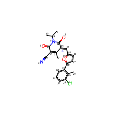 CC1=C(C#N)C(=O)N(C(C)C)C(=O)/C1=C/c1ccc(-c2cccc(Cl)c2C)o1